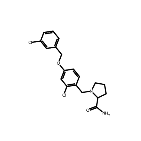 NC(=O)C1CCCN1Cc1ccc(OCc2cccc(Cl)c2)cc1Cl